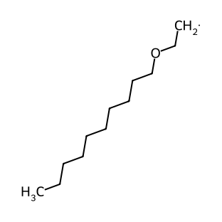 [CH2]COCCCCCCCCCC